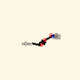 CCCCCCCCCCCCCCCCC1(C)CCc2c(C)c(OCCCCCC(=O)N(CCCC)CCCC)c(C)c(C)c2O1